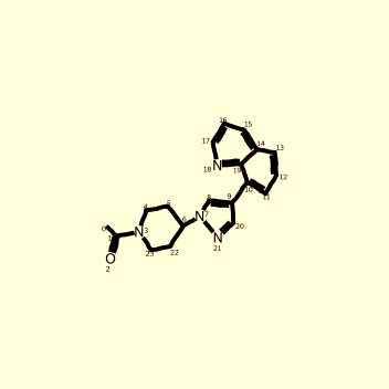 CC(=O)N1CCC(n2cc(-c3cccc4cccnc34)cn2)CC1